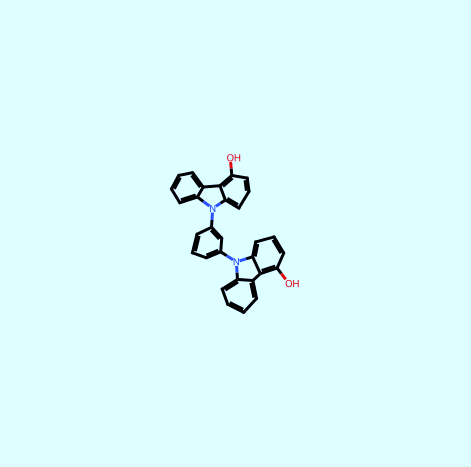 Oc1cccc2c1c1ccccc1n2-c1cccc(-n2c3ccccc3c3c(O)cccc32)c1